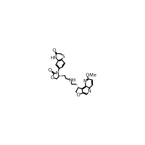 COc1ccc2ncc3c(c2n1)[C@@H](CCNCC[C@H]1COC(=O)N1c1ccc2c(c1)NC(=O)CS2)CO3